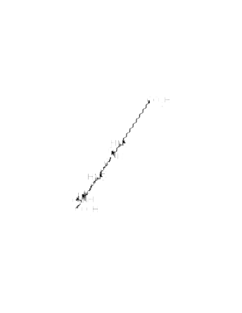 O=C(O)CCCCCCCCCCCCCCCCC(=O)NCCCC(=O)NCCOCCOCC(=O)NCCOCCOCC(=O)N[C@@H](CCC(=O)O)C(=O)I